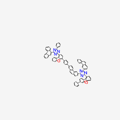 c1ccc(-c2ccc3c(c2)oc2cccc(-c4nc(-c5ccc6ccc7ccccc7c6c5)nc(-c5ccc6ccc7cc(-c8ccc(-c9ccc(-c%10nc(-c%11ccccc%11)nc(-c%11cc%12ccccc%12c%12ccccc%11%12)n%10)c%10c9oc9ccccc9%10)cc8)ccc7c6c5)n4)c23)cc1